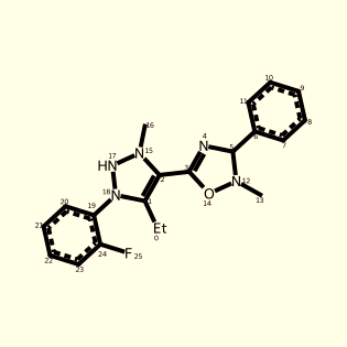 CCC1=C(C2=NC(c3ccccc3)N(C)O2)N(C)NN1c1ccccc1F